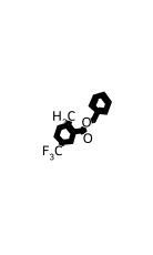 CC1=C(C(=O)OCc2ccccc2)CC(C(F)(F)F)CC1